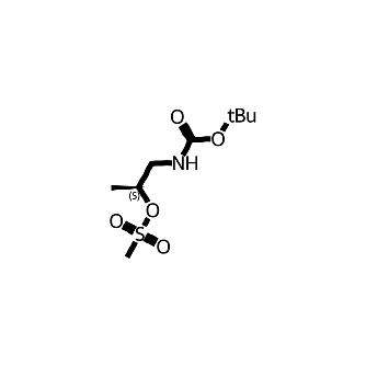 C[C@@H](CNC(=O)OC(C)(C)C)OS(C)(=O)=O